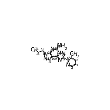 Cc1cccnc1-c1nc2c3cnn(CCCl)c3nc(N)n2n1